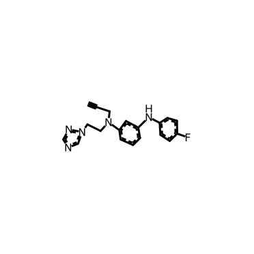 C#CCN(CCn1cncn1)c1cccc(Nc2ccc(F)cc2)c1